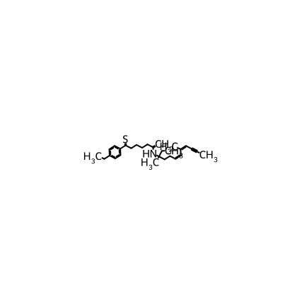 C=C(CCCCC(=S)c1ccc(CC)cc1)NC(C)(CC)CC/C=C\C(C)=C/C#CC